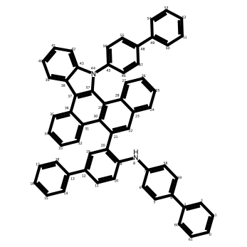 c1ccc(-c2ccc(Nc3ccc(-c4ccccc4)cc3-c3cc4ccccc4c4c3c3ccccc3c3c5ccccc5n(-c5ccc(-c6ccccc6)cc5)c34)cc2)cc1